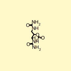 NC(=O)NCC(CNC(N)=O)O[PH2]=O